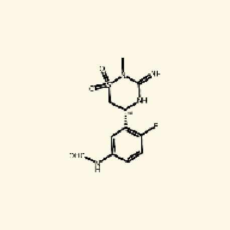 CN1C(=N)N[C@H](c2cc(NC=O)ccc2F)CS1(=O)=O